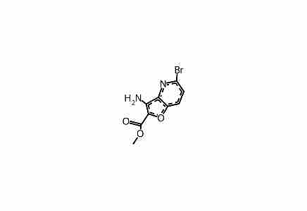 COC(=O)c1oc2ccc(Br)nc2c1N